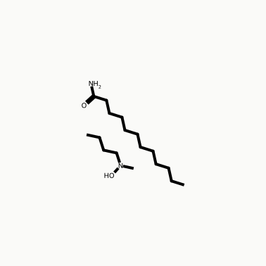 CCCCCCCCCCCC(N)=O.CCCCN(C)O